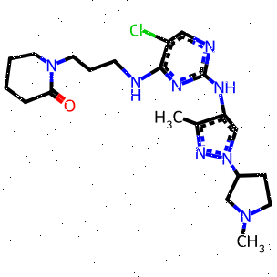 Cc1nn(C2CCN(C)C2)cc1Nc1ncc(Cl)c(NCCCN2CCCCC2=O)n1